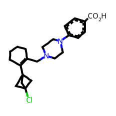 O=C(O)c1ccc(N2CCN(CC3=C(C45CC(Cl)(C4)C5)CCCC3)CC2)cc1